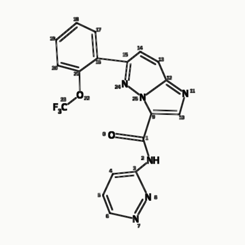 O=C(Nc1cccnn1)c1cnc2ccc(-c3ccccc3OC(F)(F)F)nn12